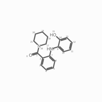 O=C(c1ccccc1Nc1ccccc1O)N1CCCCC1